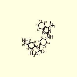 CN(C)c1nc(N[C@H]2CC[C@@H](N(C(N)=O)c3ccc(CN)cc3)CC2)nc2c1CCCC2